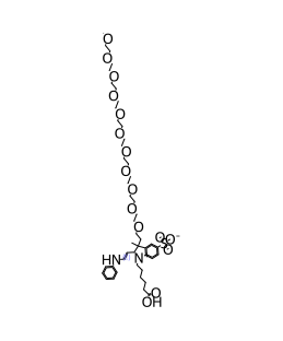 COCCOCCOCCOCCOCCOCCOCCOCCOCCOCCOCCC1(C)C(/C=C/Nc2ccccc2)=[N+](CCCCCC(=O)O)c2ccc(S(=O)(=O)[O-])cc21